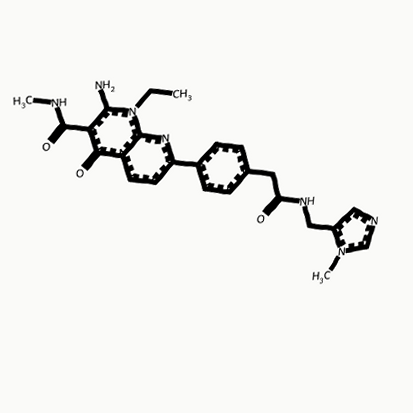 CCn1c(N)c(C(=O)NC)c(=O)c2ccc(-c3ccc(CC(=O)NCc4cncn4C)cc3)nc21